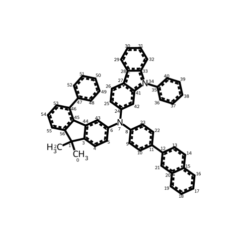 CC1(C)c2ccc(N(c3ccc(-c4ccc5ccccc5c4)cc3)c3ccc4c5ccccc5n(-c5ccccc5)c4c3)cc2-c2c(-c3ccccc3)cccc21